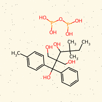 CCC(C)(C)C(O)C(CO)(CO)C(O)(c1ccccc1)c1ccc(C)cc1.OP(O)OP(O)O